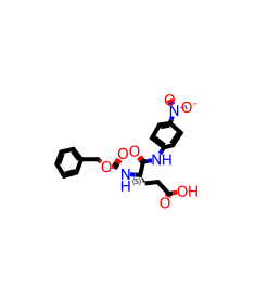 O=C(O)CC[C@H](NC(=O)OCc1ccccc1)C(=O)Nc1ccc([N+](=O)[O-])cc1